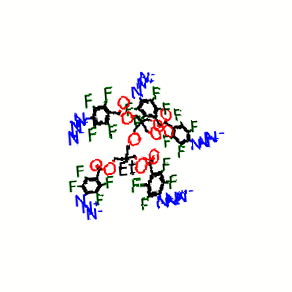 CCC(COCC(COC(=O)c1c(F)c(F)c(N=[N+]=[N-])c(F)c1F)(COC(=O)c1c(F)c(F)c(N=[N+]=[N-])c(F)c1F)COC(=O)c1c(F)c(F)c(N=[N+]=[N-])c(F)c1F)(COC(=O)c1c(F)c(F)c(N=[N+]=[N-])c(F)c1F)COC(=O)c1c(F)c(F)c(N=[N+]=[N-])c(F)c1F